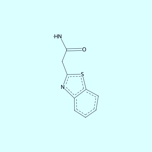 [NH]C(=O)Cc1nc2ccccc2s1